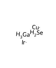 [Cu].[GaH3].[Ir].[SeH2]